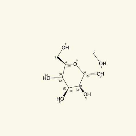 CO.OC[C@H]1O[C@H](O)[C@@H](O)[C@@H](O)[C@@H]1O